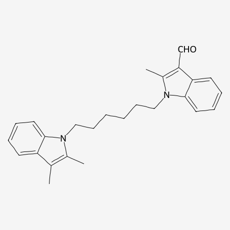 Cc1c(C)n(CCCCCCn2c(C)c(C=O)c3ccccc32)c2ccccc12